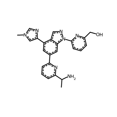 CC(N)c1cccc(-c2cc(-c3cn(C)cn3)c3cnn(-c4cccc(CO)n4)c3c2)n1